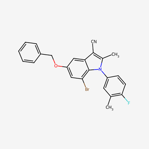 Cc1cc(-n2c(C)c(C#N)c3cc(OCc4ccccc4)cc(Br)c32)ccc1F